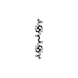 O=C(CCC(=O)O[C@H]1CO[C@H]2[C@H]1OC[C@H]2O[N+](=O)[O-])O[C@H]1CO[C@H]2[C@H]1OC[C@H]2O[N+](=O)[O-]